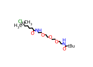 CC(C)(C)C(=O)NCCOCCOCCOCCNC(=O)CCCC[Si](C)(C)Cl